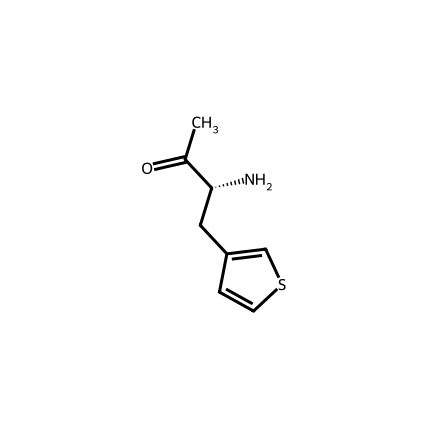 CC(=O)[C@H](N)Cc1ccsc1